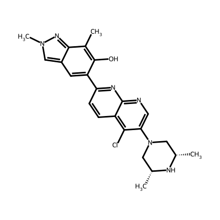 Cc1c(O)c(-c2ccc3c(Cl)c(N4C[C@@H](C)N[C@@H](C)C4)cnc3n2)cc2cn(C)nc12